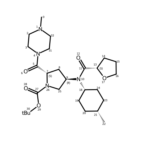 CN1CCN(C(=O)[C@@H]2C[C@@H](N(C(=O)[C@@H]3CCCO3)[C@H]3CC[C@@H](C)CC3)CN2C(=O)OC(C)(C)C)CC1